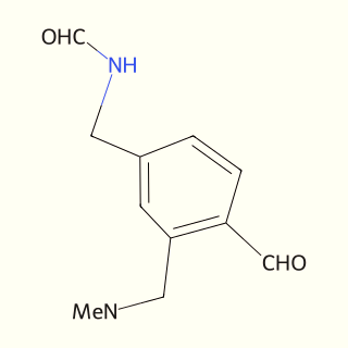 CNCc1cc(CNC=O)ccc1C=O